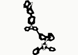 c1ccc(-c2nc(-c3ccccc3)nc(-n3c4ccccc4c4cc(-c5ccc6c(c5)c5ccccc5n6-c5ccc(-c6ccc7oc8ccccc8c7c6)cc5)ccc43)n2)cc1